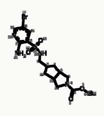 CC(C)(C)OC(=O)N1CC2CC(CNS(=O)(=O)c3cc(Br)cnc3N)CC2C1